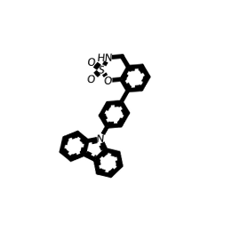 O=S1(=O)NCc2cccc(-c3ccc(-n4c5ccccc5c5ccccc54)cc3)c2O1